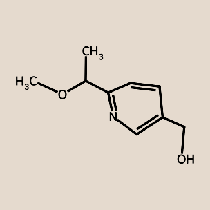 COC(C)c1ccc(CO)cn1